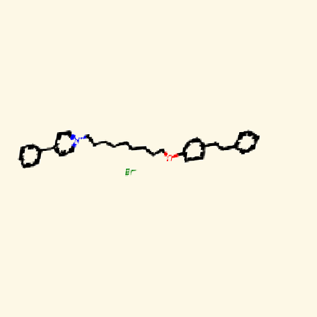 [Br-].c1ccc(CCc2ccc(OCCCCCCCCC[n+]3ccc(-c4ccccc4)cc3)cc2)cc1